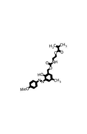 C=C(C)C(=O)OCCNC(=O)OCc1cc(C)cc(/N=N/c2ccc(OC)cc2)c1O